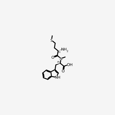 CSCC[C@H](N)C(=O)N(C)[C@H](Cc1c[nH]c2ccccc12)C(=O)O